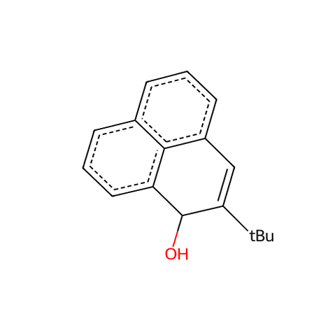 CC(C)(C)C1=Cc2cccc3cccc(c23)C1O